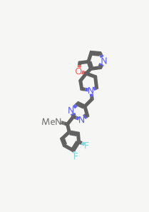 CNC(c1ccc(F)c(F)c1)c1ncc(CN2CCC3(CC2)OCc2ccncc23)cn1